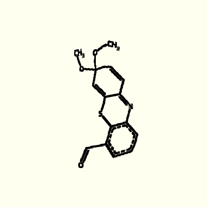 COC1(OC)C=CC2=Nc3cccc(C=O)c3SC2=C1